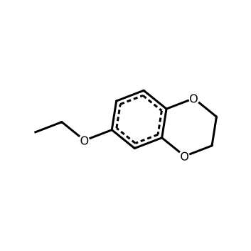 CCOc1ccc2c(c1)OCCO2